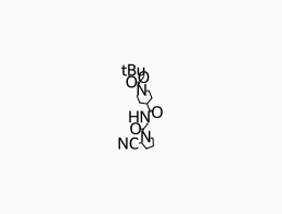 CC(C)(C)OC(=O)N1CCC(C(=O)NCC(=O)N2CCC[C@H]2C#N)CC1